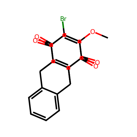 COC1=C(Br)C(=O)C2=C(C1=O)C1C3=C(C(=O)C=CC3=O)C2c2ccccc21